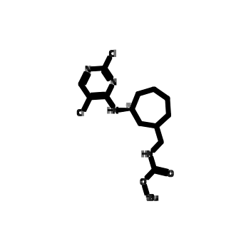 CC(C)(C)OC(=O)NCC1CCCC[C@H](Nc2nc(Cl)ncc2Cl)C1